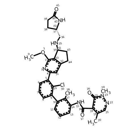 COc1nc(-c2cccc(-c3cccc(NC(=O)c4c(C)cnn(C)c4=O)c3C)c2Cl)cc2c1[C@@H](NC[C@@H]1CCC(=O)N1)CC2